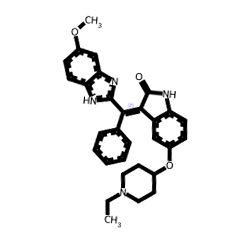 CCN1CCC(Oc2ccc3c(c2)/C(=C(\c2ccccc2)c2nc4cc(OC)ccc4[nH]2)C(=O)N3)CC1